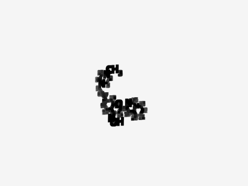 CN1CCN(CC#Cc2ccc3/c(=N/O)cc(-c4cc5ccccc5cn4)oc3c2)CC1